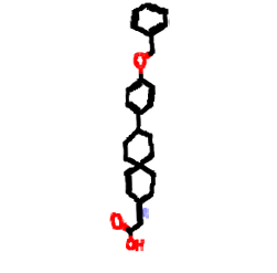 O=C(O)/C=C1\C=CC2(CC1)CCC(c1ccc(OCc3ccccc3)cc1)CC2